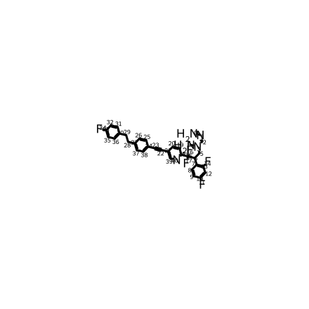 N/N=C\N(N)CC(c1ccc(F)cc1F)C(F)(F)c1ccc(C#Cc2ccc(CCc3ccc(F)cc3)cc2)cn1